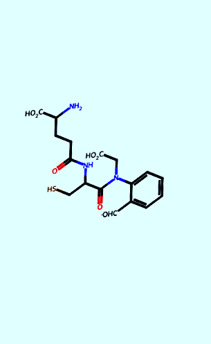 NC(CCC(=O)NC(CS)C(=O)N(CC(=O)O)c1ccccc1[C]=O)C(=O)O